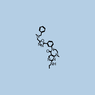 CCNc1ncc2c(n1)N(C)CCN(c1cccc(-c3nnc(CN(C)Cc4ccccc4)o3)c1)C2=O